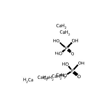 O=P(O)(O)O.O=P(O)(O)O.[CaH2].[CaH2].[CaH2].[CaH2].[CaH2].[CaH2].[CaH2]